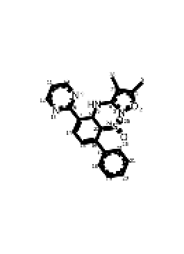 Cc1onc(NC2C(c3ncccn3)=CC=C(c3ccccc3)C2=S(=O)=O)c1C